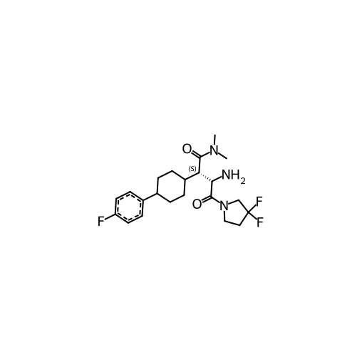 CN(C)C(=O)[C@@H](C1CCC(c2ccc(F)cc2)CC1)C(N)C(=O)N1CCC(F)(F)C1